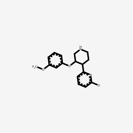 [O]c1cccc(C2CCNCC2Oc2cccc(OC(F)(F)F)c2)n1